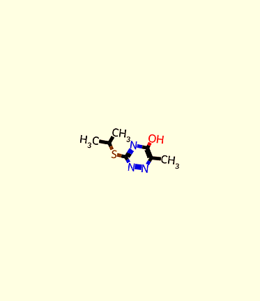 Cc1nnc(SC(C)C)nc1O